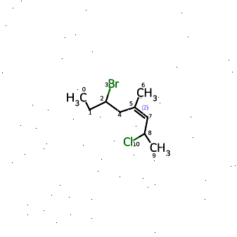 CCC(Br)C/C(C)=C\C(C)Cl